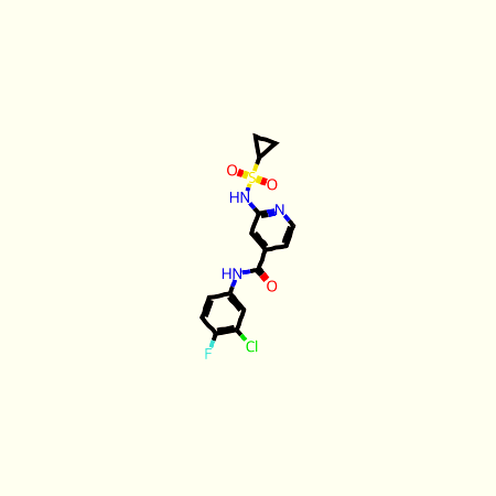 O=C(Nc1ccc(F)c(Cl)c1)c1ccnc(NS(=O)(=O)C2CC2)c1